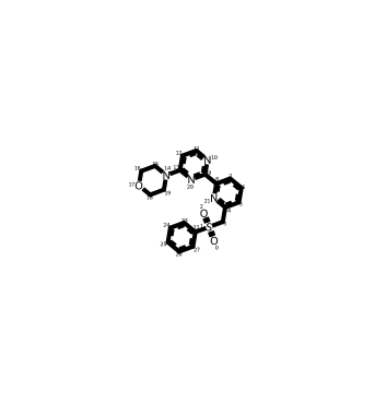 O=S(=O)(Cc1cccc(-c2nccc(N3CCOCC3)n2)n1)c1ccccc1